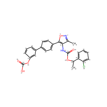 Cc1noc(-c2ccc(-c3cccc(OC(=O)O)c3)cc2)c1NC(=O)OC(C)c1ccccc1Cl